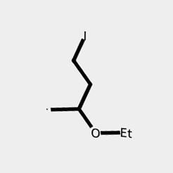 [CH2]C(CCI)OCC